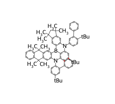 CC(C)(C)c1ccc(N2c3cc4c(cc3B3c5cc6c(cc5N(c5ccc(C(C)(C)C)c(-c7ccccc7)c5)c5cc(C(C)(C)C)cc2c53)C(C)(C)CC6(C)C)C(C)(C)c2ccccc2C4(C)C)c(-c2ccccc2)c1